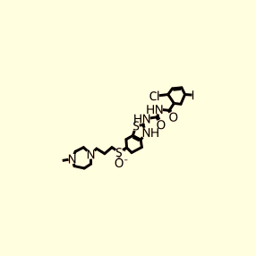 CN1CCCN(CCC[S+]([O-])C2CCC3=C(C2)SC(NC(=O)NC(=O)C2CC(I)C=CC2Cl)N3)CC1